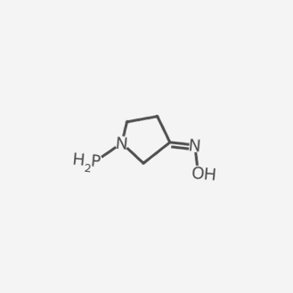 O/N=C1/CCN(P)C1